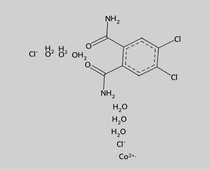 NC(=O)c1cc(Cl)c(Cl)cc1C(N)=O.O.O.O.O.O.O.[Cl-].[Cl-].[Co+2]